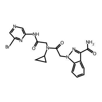 NC(=O)c1nn(CC(=O)N(CC(=O)Nc2cncc(Br)n2)C2CC2)c2ccccc12